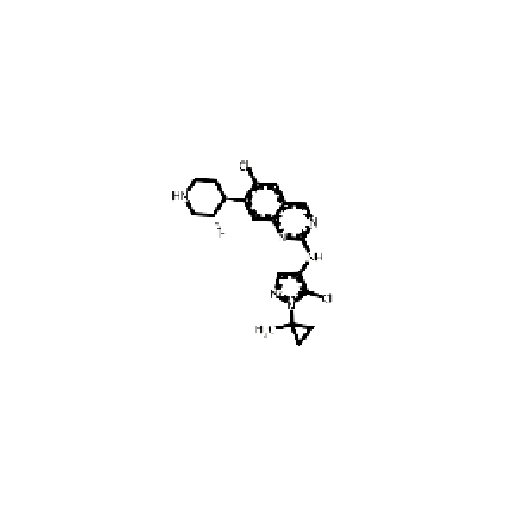 CC1(n2ncc(Nc3ncc4cc(Cl)c([C@@H]5CCNC[C@H]5F)cc4n3)c2Cl)CC1